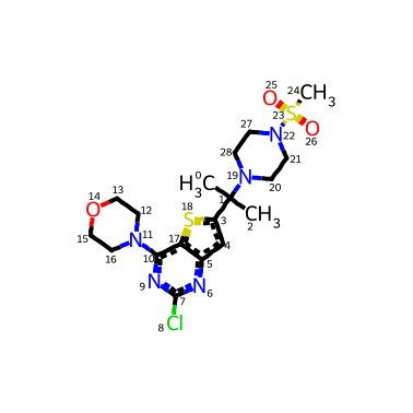 CC(C)(c1cc2nc(Cl)nc(N3CCOCC3)c2s1)N1CCN(S(C)(=O)=O)CC1